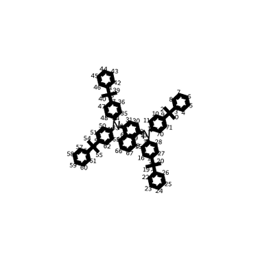 CC(C)(c1ccccc1)c1ccc(N(c2ccc(C(C)(C)c3ccccc3)cc2)c2ccc(N(c3ccc(C(C)(C)c4ccccc4)cc3)c3ccc(C(C)(C)c4ccccc4)cc3)c3ccccc23)cc1